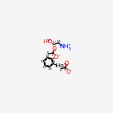 CC(=O)[O-].CC(=O)[O-].[Hg+][c]1ccccc1.[NH3+]CCO